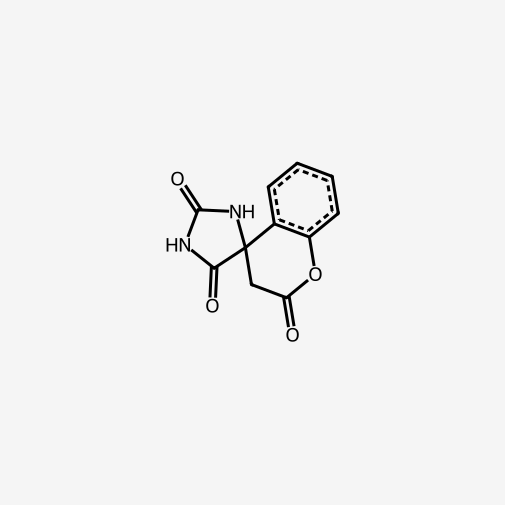 O=C1NC(=O)C2(CC(=O)Oc3ccccc32)N1